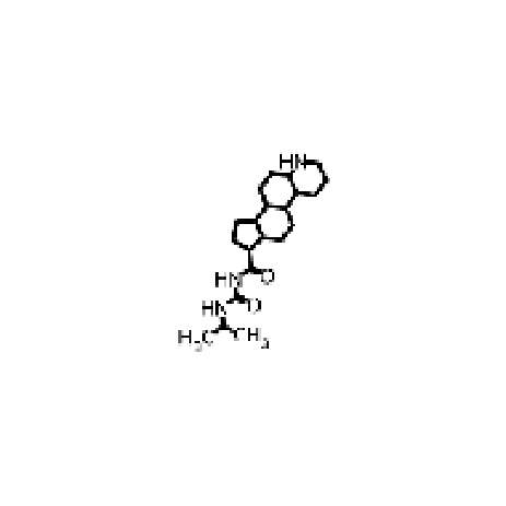 CC(C)NC(=O)NC(=O)C1CCC2C1CCC1C3CCCNC3CCC12